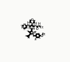 CCNC(=O)Nc1nc(-c2nn(Cc3c(F)cc(OCC)cc3F)c(C3CC3)c2C)nc(Nc2ccncn2)c1N1CCOCC1